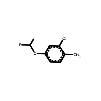 [CH2]c1ccc(OC(F)F)cc1Cl